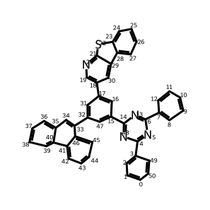 c1ccc(-c2nc(-c3ccccc3)nc(-c3cc(-c4cnc5sc6ccccc6c5c4)cc(-c4cc5ccccc5c5ccccc45)c3)n2)cc1